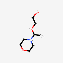 CC(OCCO)N1CCOCC1